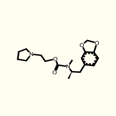 C[C@H](Cc1ccc2c(c1)OCO2)N(C)C(=O)OCCN1CCCC1